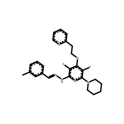 Cc1cccc(/C=N/Nc2nc(N3CCCCC3)c(F)c(OCCc3ccccn3)c2F)c1